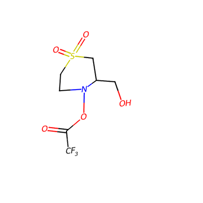 O=C(ON1CCS(=O)(=O)CC1CO)C(F)(F)F